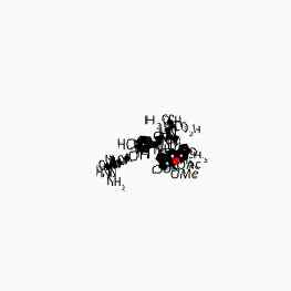 CC1(C)S[C@@H]2[C@H](NC(=O)[C@H](N)c3ccc(O)cc3)C(=O)N2[C@H]1C(=O)O.COC[C@H]1OC(=O)c2coc3c2[C@@]1(C)C1=C(C3=O)C2CCC(=O)[C@@]2(C)C[C@H]1OC(C)=O.Nc1nc2c(ncn2COCCO)c(=O)[nH]1